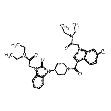 CCN(CC)C(=O)Cn1cc(C(=O)N2CCC(n3c(=O)n(CC(=O)N(CC)CC)c4ccccc43)CC2)c2ccc(Cl)cc21